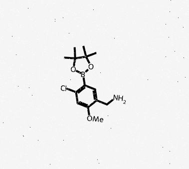 COc1cc(Cl)c(B2OC(C)(C)C(C)(C)O2)cc1CN